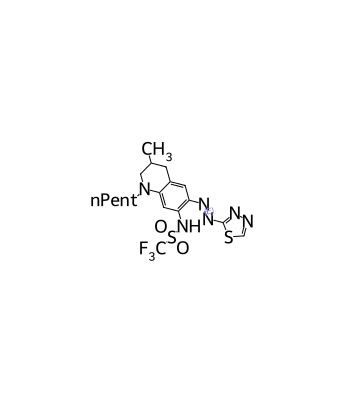 CCCCCN1CC(C)Cc2cc(/N=N/c3nncs3)c(NS(=O)(=O)C(F)(F)F)cc21